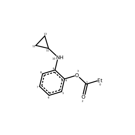 CCC(=O)Oc1ccccc1NC1CC1